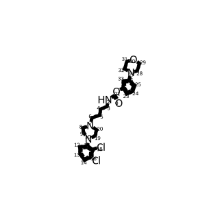 O=C(NCCCCN1CCN(c2cccc(Cl)c2Cl)CC1)Oc1cccc(N2CCOCC2)c1